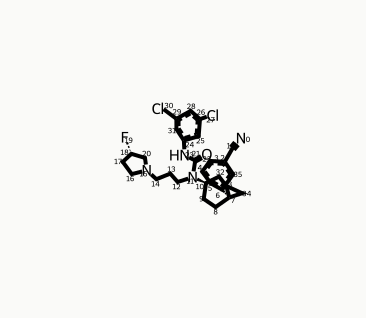 N#Cc1cccc([C@]23CC[C@@H](N(CCCN4CC[C@H](F)C4)C(=O)Nc4cc(Cl)cc(Cl)c4)CC2C3)c1